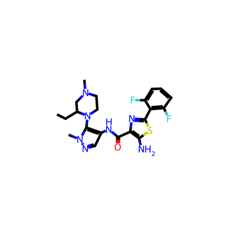 CCC1CN(C)CCN1c1c(NC(=O)c2nc(-c3c(F)cccc3F)sc2N)cnn1C